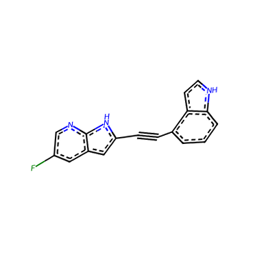 Fc1cnc2[nH]c(C#Cc3cccc4[nH]ccc34)cc2c1